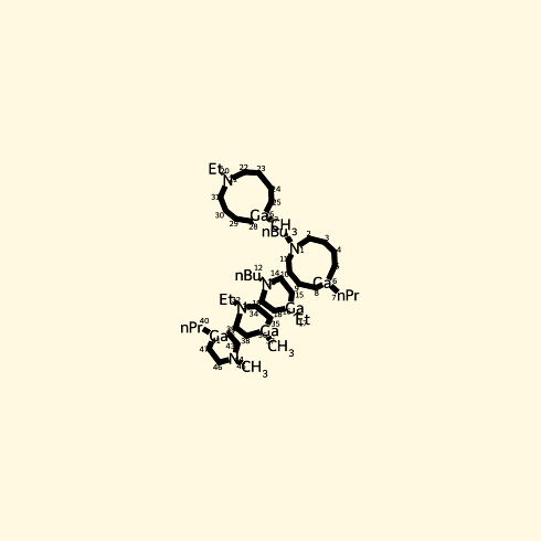 CCCCN1CCC[CH2][Ga]([CH2]CC)[CH2]CCC1.CCCCN1C[CH2][Ga]([CH2]C)[CH2]C1.CCN1CCC[CH2][Ga]([CH3])[CH2]CCC1.CCN1C[CH2][Ga]([CH3])[CH2]C1.CC[CH2][Ga]1[CH2]CN(C)C[CH2]1